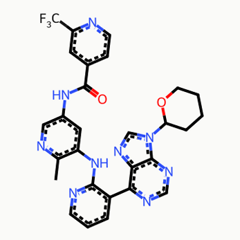 Cc1ncc(NC(=O)c2ccnc(C(F)(F)F)c2)cc1Nc1ncccc1-c1ncnc2c1ncn2C1CCCCO1